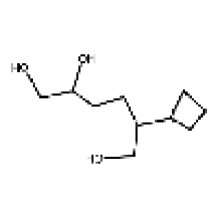 OCC(O)CCC(CO)C1CCC1